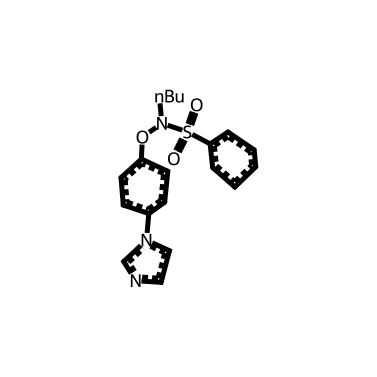 CCCCN(Oc1ccc(-n2ccnc2)cc1)S(=O)(=O)c1ccccc1